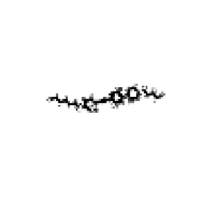 CCCCCCOc1ccc(C#Cc2ccc([C@H]3CC[C@H](CCCCC)CC3)cc2)nc1